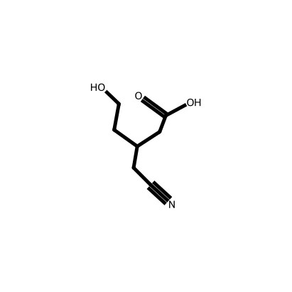 N#CCC(CCO)CC(=O)O